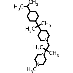 CC(C)C1CCC(C(C)(C)C2CCN(CC(C)(C)N3CCN(C)CC3)CC2)CC1